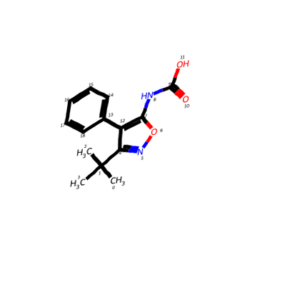 CC(C)(C)c1noc(NC(=O)O)c1-c1ccccc1